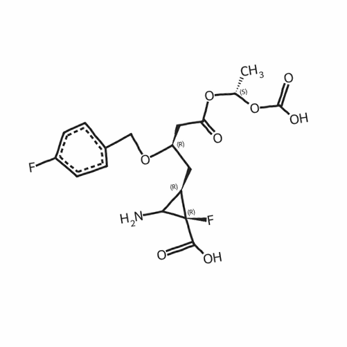 C[C@H](OC(=O)O)OC(=O)C[C@@H](C[C@@H]1C(N)[C@@]1(F)C(=O)O)OCc1ccc(F)cc1